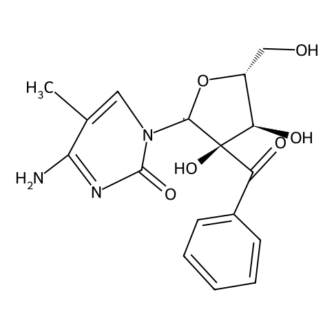 Cc1cn([C]2O[C@H](CO)[C@@H](O)[C@]2(O)C(=O)c2ccccc2)c(=O)nc1N